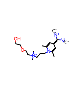 [C-]#[N+]C([N+]#[C-])=C1C=C(C)N(CCC[N+](C)(C)CCOCCO)C(C)=C1